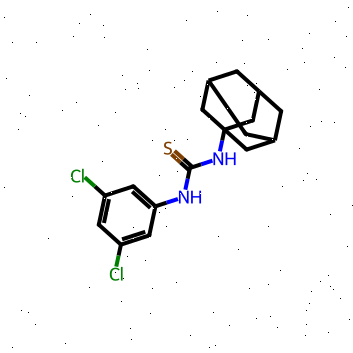 S=C(Nc1cc(Cl)cc(Cl)c1)NC12CC3CC(CC(C3)C1)C2